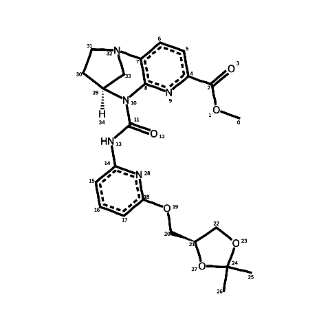 COC(=O)c1ccc2c(n1)N(C(=O)Nc1cccc(OC[C@H]3COC(C)(C)O3)n1)[C@H]1CCN2C1